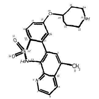 Cc1cc2c(c3ncccc13)NS(=O)(=O)c1ccc(OC3CCNCC3)cc1-2